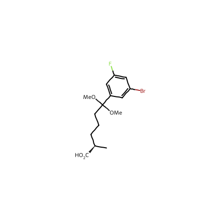 COC(CCC[C@@H](C)C(=O)O)(OC)c1cc(F)cc(Br)c1